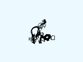 Cc1c(Cl)ccc2c(O[C@@H]3C[C@H]4C(=O)N[C@]5(C(=O)NS(=O)(=O)C6(C)CC6)CC5/C=C\CCCCC[C@H](NC(=O)c5ccn(C)n5)C(=O)N4C3)cc(OC(C)C)nc12